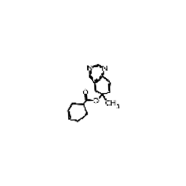 CC1(OC(=O)C2CC=CCC2)C=Cc2ncncc2C1